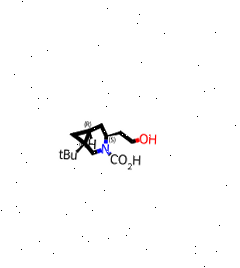 CC(C)(C)[C@@]12C[C@@H]1C[C@@H](CCO)N(C(=O)O)C2